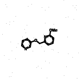 COc1cccc(COc2[c]ccnc2)n1